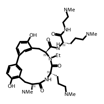 CCN1C(=O)[C@H](CCCNC)NC(=O)[C@@H](NC)Cc2cc(ccc2O)-c2ccc(O)c(c2)C[C@H]1C(=O)N[C@@H](CCCNC)C(=O)NCCNC